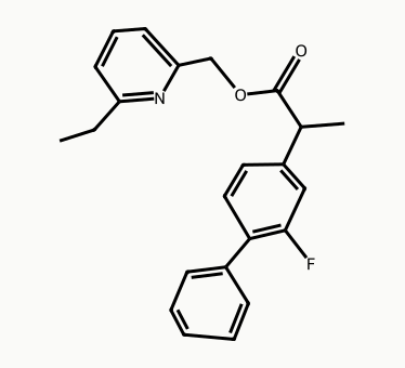 CCc1cccc(COC(=O)C(C)c2ccc(-c3ccccc3)c(F)c2)n1